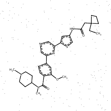 CCC1(CC(=O)Nc2csc(-c3cncc(-c4ccc(C(=O)N(C)C5CCN(C)CC5)c(OC)c4)n3)c2)CCC1